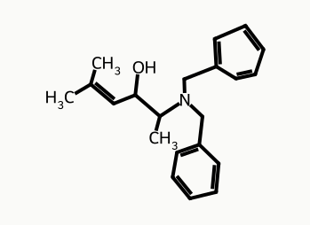 CC(C)=CC(O)C(C)N(Cc1ccccc1)Cc1ccccc1